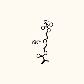 C=C(C)C(=O)OCCOCCOP(=O)([O-])[O-].[K+].[K+]